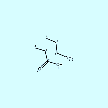 CCC(=O)O.CCCN